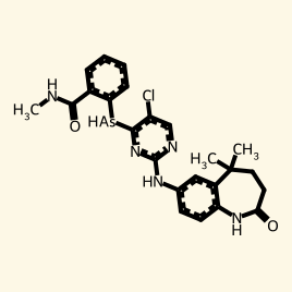 CNC(=O)c1ccccc1[AsH]c1nc(Nc2ccc3c(c2)C(C)(C)CCC(=O)N3)ncc1Cl